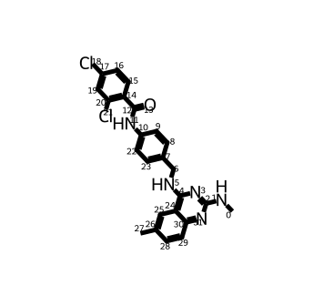 CNc1nc(NCc2ccc(NC(=O)c3ccc(Cl)cc3Cl)cc2)c2cc(C)ccc2n1